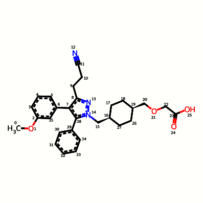 COc1cccc(-c2c(CCC#N)nn(C[C@H]3CC[C@@H](COCC(=O)O)CC3)c2-c2ccccc2)c1